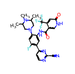 CC1CN(c2cc(F)c(-c3ccnc(C#N)n3)cc2NC(=O)c2c[nH]c(=O)cc2C(F)(F)F)CC(C)N1C